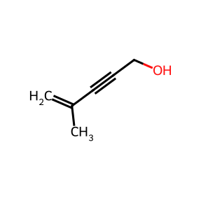 C=C(C)C#CCO